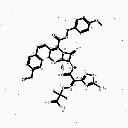 COc1ccc(COC(=O)C2=C(/C=C\c3ccc(CCl)cc3)CS[C@@H]3[C@H](NC(=O)/C(=N\OC(C)(C)C(=O)O)c4nsc(N)n4)C(=O)N23)cc1